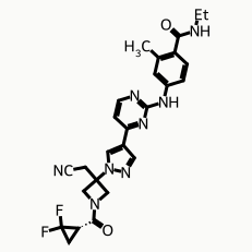 CCNC(=O)c1ccc(Nc2nccc(-c3cnn(C4(CC#N)CN(C(=O)[C@@H]5CC5(F)F)C4)c3)n2)cc1C